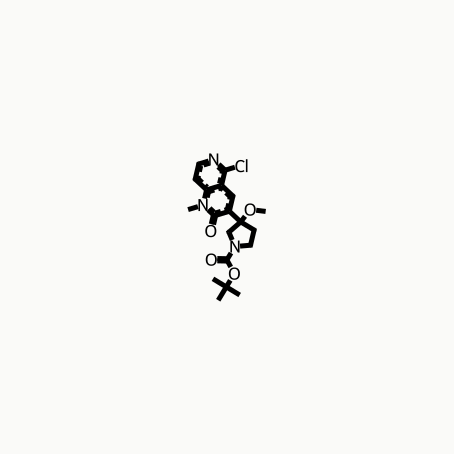 COC1(c2cc3c(Cl)nccc3n(C)c2=O)CCN(C(=O)OC(C)(C)C)C1